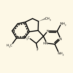 Cc1ccc2c(c1)C(C1(C(C)F)N=C(N)N=C(N)N1)[C@@H](C)C2